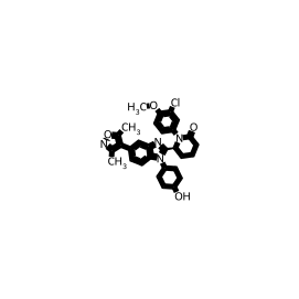 COc1ccc(N2C(=O)CCC[C@H]2c2nc3cc(-c4c(C)noc4C)ccc3n2C2CCC(O)CC2)cc1Cl